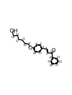 O=C(/C=C/c1ccc(OCCCCCCO)cc1)c1ccccc1